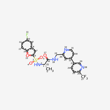 C[C@H](NS(=O)(=O)c1cc2cc(F)ccc2o1)C(=O)NCc1cc(-c2ccc(C(F)(F)F)nc2)ccn1